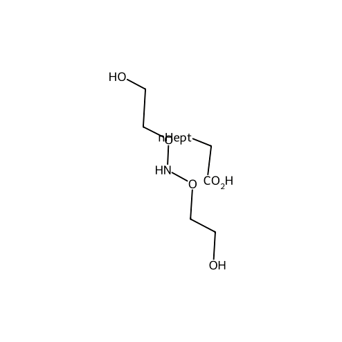 CCCCCCCCC(=O)O.OCCONOCCO